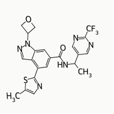 Cc1cnc(-c2cc(C(=O)NC(C)c3cnc(C(F)(F)F)nc3)cc3c2cnn3C2COC2)s1